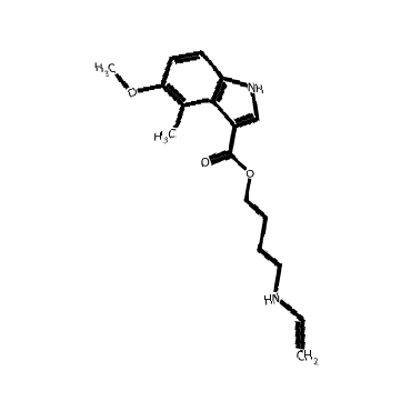 C=CNCCCCOC(=O)c1c[nH]c2ccc(OC)c(C)c12